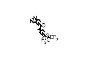 O=C(OC(C(F)(F)F)C(F)(F)F)N1CCC2(CC1)CC2C(=O)N1CCc2ncncc2C1